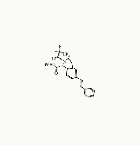 COC(=O)[C@H]1c2ccc(OCc3ccccc3)cc2CCN1C(=O)C(C)(F)C(F)(F)F